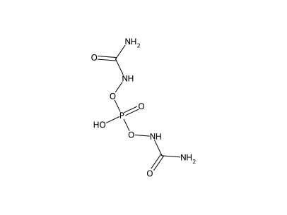 NC(=O)NOP(=O)(O)ONC(N)=O